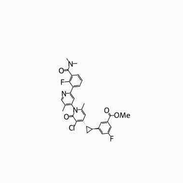 COC(=O)c1cc(F)cc([C@H]2C[C@@H]2c2cc(C)n(-c3cc(-c4cccc(C(=O)N(C)C)c4F)ncc3C)c(=O)c2Cl)c1